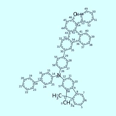 CC1(C)c2ccccc2-c2ccc(N(c3ccc(-c4ccccc4)cc3)c3ccc(-c4ccc5c(c4)c4ccccc4c4c5ccc5oc6ccccc6c54)cc3)cc21